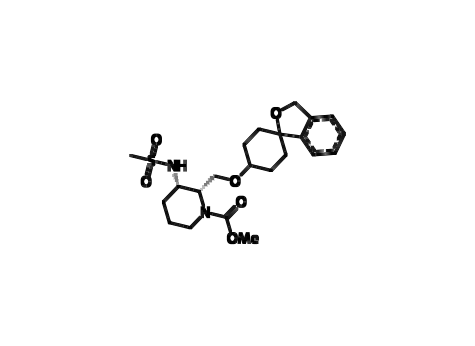 COC(=O)N1CCC[C@H](NS(C)(=O)=O)[C@@H]1COC1CCC2(CC1)OCc1ccccc12